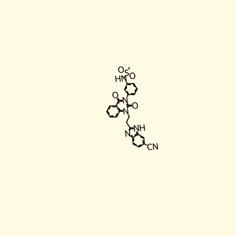 CS(=O)(=O)Nc1cccc(-n2c(=O)c3ccccc3n(CCc3nc4ccc(C#N)cc4[nH]3)c2=O)c1